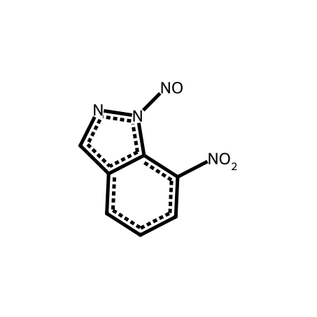 O=Nn1ncc2cccc([N+](=O)[O-])c21